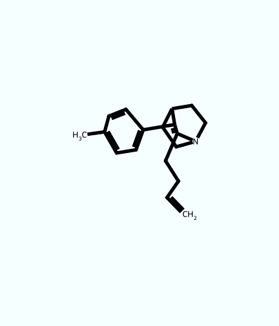 C=CCCC1=C(c2ccc(C)cc2)C2CCN1CC2